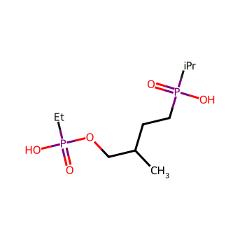 CCP(=O)(O)OCC(C)CCP(=O)(O)C(C)C